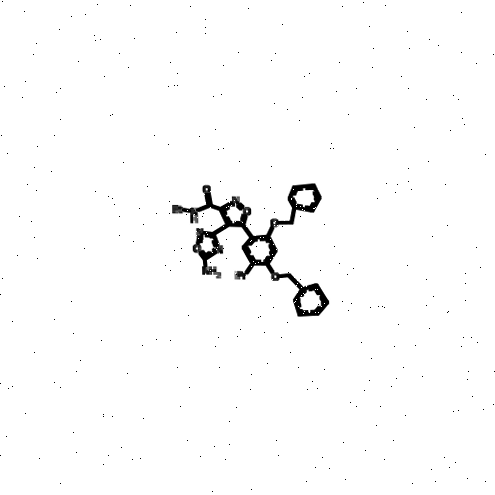 CCNC(=O)c1noc(-c2cc(C(C)C)c(OCc3ccccc3)cc2OCc2ccccc2)c1-c1noc(N)n1